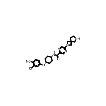 N#Cc1ccc(O[C@H]2CC[C@H](NC(=O)c3cnc(N4CC5(CCNC5)C4)cn3)CC2)cc1Cl